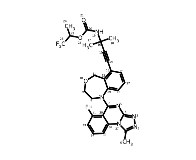 Cc1nnc2nc(N3CCOCc4c(C#CC(C)(C)NC(=O)OC(C)C(F)(F)F)cccc43)c3c(F)cccc3n12